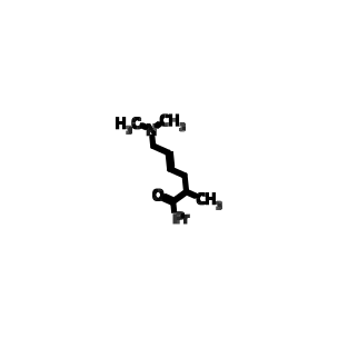 CC(C)C(=O)C(C)C/C=C/CN(C)C